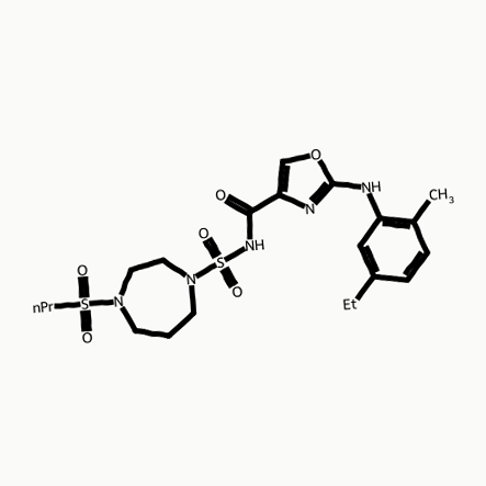 CCCS(=O)(=O)N1CCCN(S(=O)(=O)NC(=O)c2coc(Nc3cc(CC)ccc3C)n2)CC1